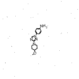 COC1CCN(c2ncn(-c3ccc(N)cc3)n2)CC1